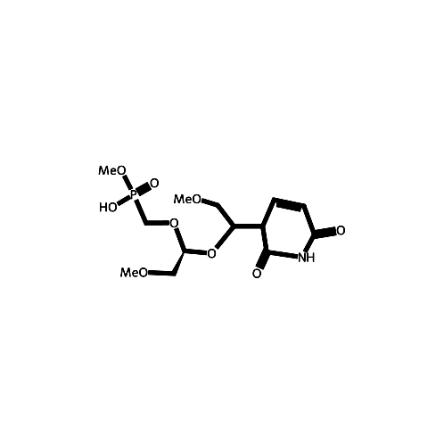 COCC(O[C@@H](COC)OCP(=O)(O)OC)C1C=CC(=O)NC1=O